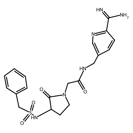 N=C(N)c1ccc(CNC(=O)CN2CCC(NS(=O)(=O)Cc3ccccc3)C2=O)cn1